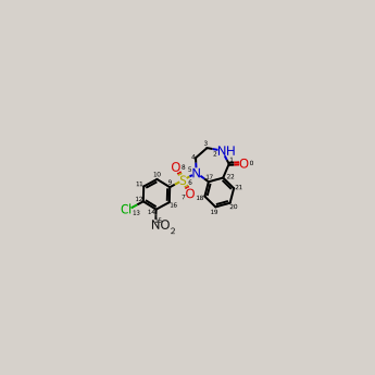 O=C1NCCN(S(=O)(=O)c2ccc(Cl)c([N+](=O)[O-])c2)c2ccccc21